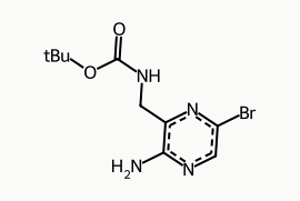 CC(C)(C)OC(=O)NCc1nc(Br)cnc1N